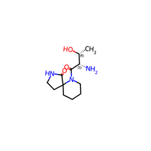 C[C@@H](O)[C@H](N)C(=O)N1CCCCC12CCNC2=O